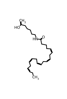 C=C(O)CCCCCNC(=O)CCC/C=C\C/C=C\C/C=C\C/C=C\C/C=C\CC